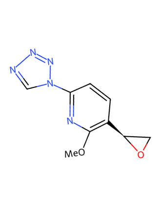 COc1nc(-n2cnnn2)ccc1[C@H]1CO1